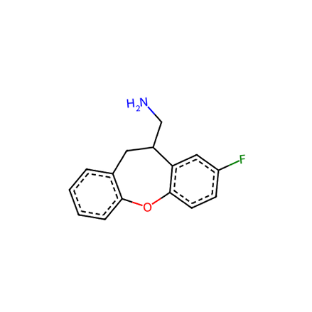 NCC1Cc2ccccc2Oc2ccc(F)cc21